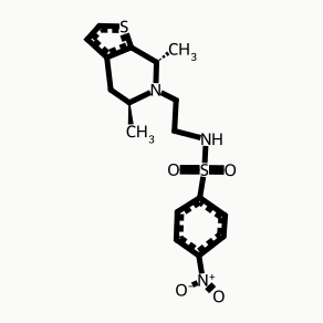 C[C@H]1Cc2ccsc2[C@H](C)N1CCNS(=O)(=O)c1ccc([N+](=O)[O-])cc1